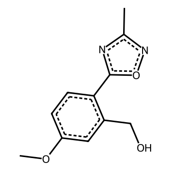 COc1ccc(-c2nc(C)no2)c(CO)c1